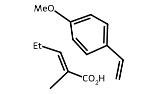 C=Cc1ccc(OC)cc1.CCC=C(C)C(=O)O